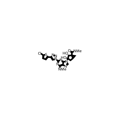 CNC(=O)C12CC1C[C@](O)(n1cnc3c(NC)nc(-n4cc(-c5ccc(Cl)s5)nn4)nc31)[C@@H]2O